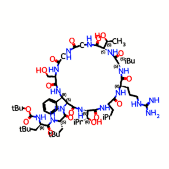 CC[C@H](C)[C@@H]1NC(=O)[C@@H](CCCNC(=N)N)NC(=O)C(CC(C)C)NC(=O)[C@H]([C@H](O)C(C)C)NC(=O)[C@@H](NC(=O)[C@H](CC(C)(C)C)NC(=O)[C@@H](CC(C)(C)C)NC(=O)OC(C)(C)C)[C@@H](c2ccccc2)NC(=O)C(CO)NC(=O)CNC(=O)CNC(=O)[C@H]([C@H](C)O)NC1=O